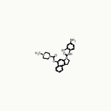 CCc1cc(N)ccc1NC(=O)N1CCc2c1cc(OC(=O)N1CCN(C)CC1)c1ccccc21